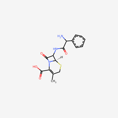 CC1=C(C(=O)O)N2C(=O)C(NC(=O)C(N)c3ccccc3)[C@H]2SC1